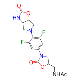 CC(=O)NCC1CN(c2cc(F)c(N3CC4NC(=O)OC4C3)c(F)c2)C(=O)O1